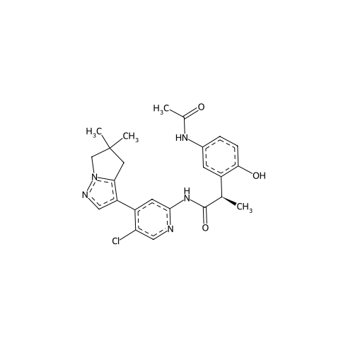 CC(=O)Nc1ccc(O)c([C@@H](C)C(=O)Nc2cc(-c3cnn4c3CC(C)(C)C4)c(Cl)cn2)c1